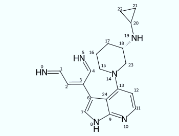 N=C/C=C(\C=N)c1c[nH]c2nccc(N3CCC[C@H](NC4CC4)C3)c12